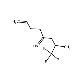 C=CCCC(=N)CC(C)C(F)(F)F